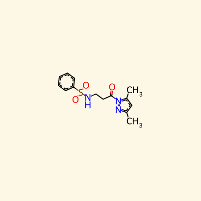 Cc1cc(C)n(C(=O)CCNS(=O)(=O)c2ccccc2)n1